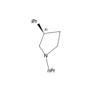 CCCN1CC[C@H](C(C)C)C1